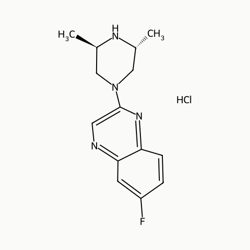 C[C@@H]1CN(c2cnc3cc(F)ccc3n2)C[C@@H](C)N1.Cl